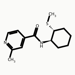 CS[C@@H]1CCCC[C@H]1NC(=O)c1ccnc(C)c1